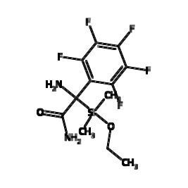 CCO[Si](C)(C)C(N)(C(N)=O)c1c(F)c(F)c(F)c(F)c1F